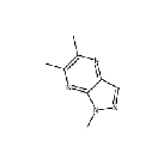 Cc1nc2cnn(C)c2nc1C